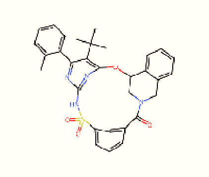 Cc1ccccc1-c1nc2nc(c1C(C)(C)C)OC1CN(Cc3ccccc31)C(=O)c1cccc(c1)S(=O)(=O)N2